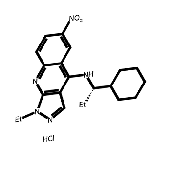 CC[C@H](Nc1c2cc([N+](=O)[O-])ccc2nc2c1cnn2CC)C1CCCCC1.Cl